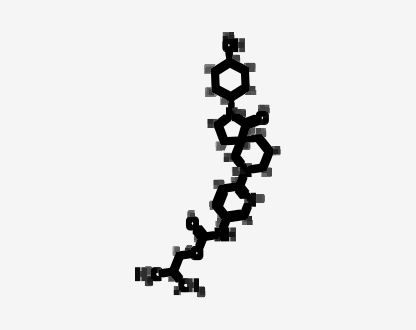 CC(C)COC(=O)Nc1ccc(N2CCC[C@]3(CCN([C@H]4CC[C@H](O)CC4)C3=O)C2)nc1